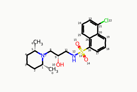 C[C@@H]1CCC[C@H](C)N1C[C@@H](O)CNS(=O)(=O)c1cccc2c(Cl)cccc12